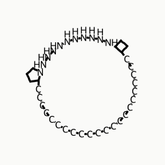 C1CCCCCCCCCCCC2CCCN2NNNNNNNNNNC2CCC2CCCCCCCCCC1